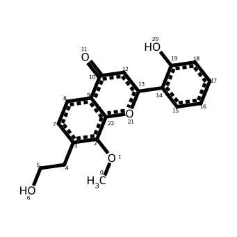 COc1c(CCO)ccc2c(=O)cc(-c3ccccc3O)oc12